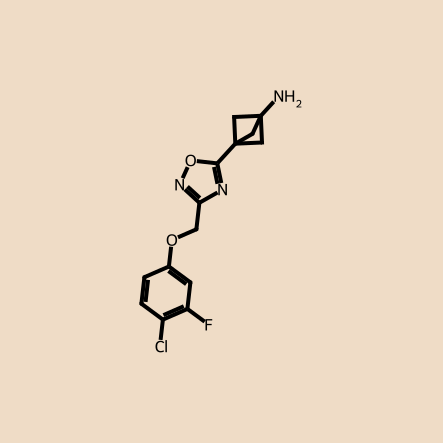 NC12CC(c3nc(COc4ccc(Cl)c(F)c4)no3)(C1)C2